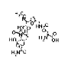 CON=C(C(=O)N[C@@H]1C(=O)N2C(C(=O)O)=C(COC(N)=O)CS[C@@H]12)c1ccc(CNC(=O)OC[C@@H](N)C(=O)O)o1